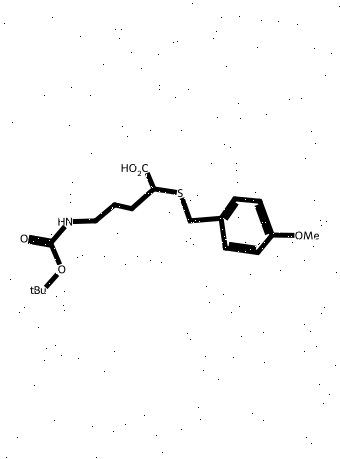 COc1ccc(CSC(CCCNC(=O)OC(C)(C)C)C(=O)O)cc1